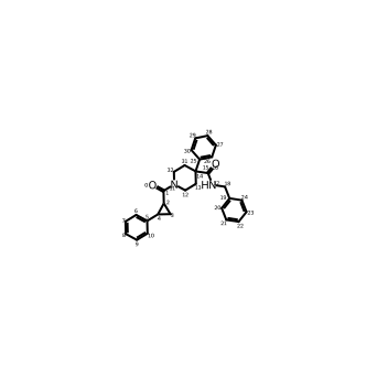 O=C(C1CC1c1ccccc1)N1CCC(C(=O)NCc2ccccc2)(c2ccccc2)CC1